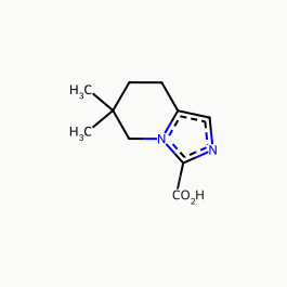 CC1(C)CCc2cnc(C(=O)O)n2C1